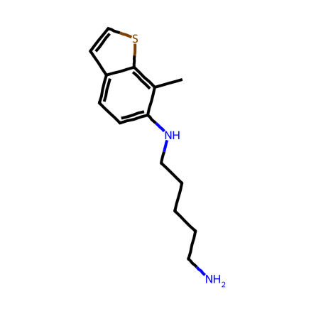 Cc1c(NCCCCCN)ccc2ccsc12